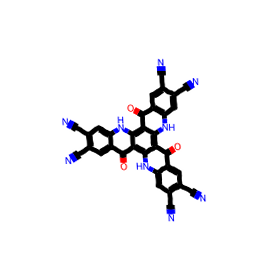 N#Cc1cc2[nH]c3c4c(=O)c5cc(C#N)c(C#N)cc5[nH]c4c4c(=O)c5cc(C#N)c(C#N)cc5[nH]c4c3c(=O)c2cc1C#N